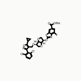 COC(=O)c1cc(F)c2nc(O[C@@H]3CO[C@H]4[C@@H]3OC[C@H]4OCc3c(-c4c(Cl)cccc4Cl)noc3C3CC3)sc2c1